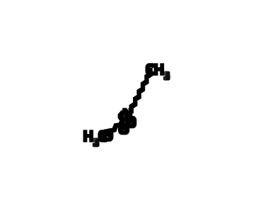 CCCCCCCCCCCCN1CCC(C(=O)CCCOC)C1=O